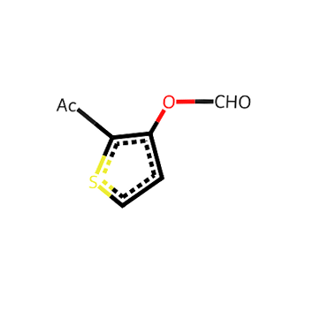 CC(=O)c1sccc1OC=O